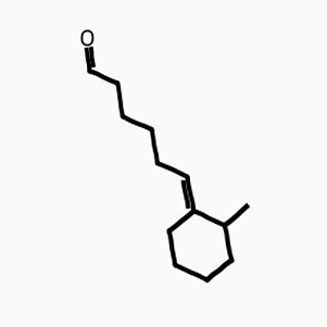 CC1CCCCC1=CCCCCC=O